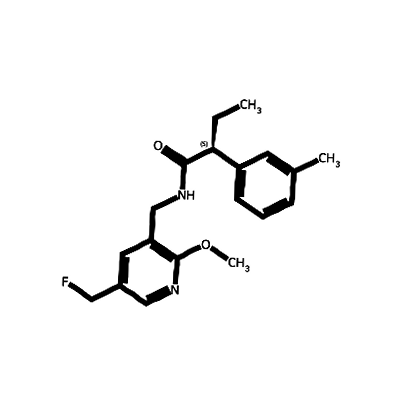 CC[C@H](C(=O)NCc1cc(CF)cnc1OC)c1cccc(C)c1